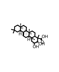 CC1(C)CC[C@]2(C)CC[C@]3(C)C(=CC[C@@H]4[C@@]5(C)C[C@H](O)[C@H](O)C(C)(C(=O)O)C5CC[C@]43C)[C@H]2C1